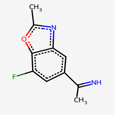 CC(=N)c1cc(F)c2oc(C)nc2c1